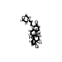 C[C@]12CCC(=O)N(CCN3CCOCC3)C1=CC[C@@H]1[C@@H]2CC[C@]2(C)C(=O)CC[C@@H]12